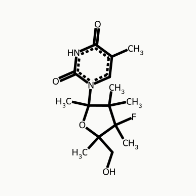 Cc1cn(C2(C)OC(C)(CO)C(C)(F)C2(C)C)c(=O)[nH]c1=O